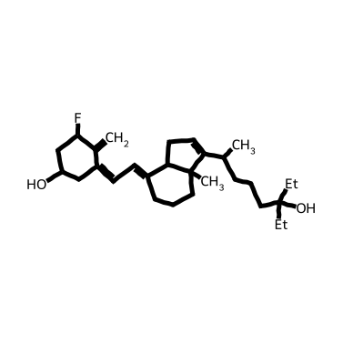 C=C1/C(=C\C=C2/CCCC3(C)C(C(C)CCCC(O)(CC)CC)=CCC23)CC(O)CC1F